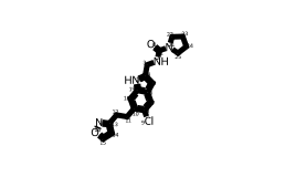 O=C(NCc1cc2cc(Cl)c(CCc3ccon3)cc2[nH]1)N1CCCC1